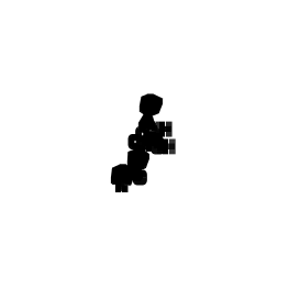 O=C(NC(=O)[C@H](CO)N[C@@H]1C[C@H]1c1ccccc1)c1ccc(C(=O)c2cccnc2)cc1